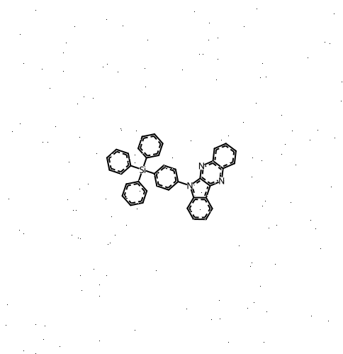 c1ccc([Si](c2ccccc2)(c2ccccc2)c2ccc(-n3c4ccccc4c4nc5ccccc5nc43)cc2)cc1